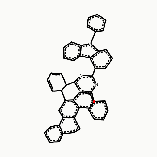 C1=CC(c2nc(-c3ccccc3)nc(-c3cccc4c3c3ccccc3n4-c3ccccc3)n2)C(c2cc3c4ccccc4ccc3c3ncccc23)C=C1